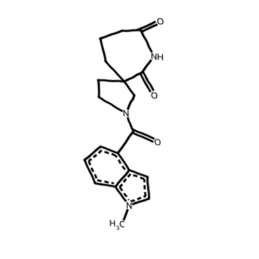 Cn1ccc2c(C(=O)N3CCC4(CCCC(=O)NC4=O)C3)cccc21